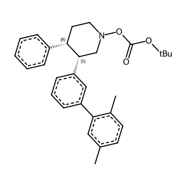 Cc1ccc(C)c(-c2cccc([C@H]3CN(OC(=O)OC(C)(C)C)CC[C@H]3c3ccccc3)c2)c1